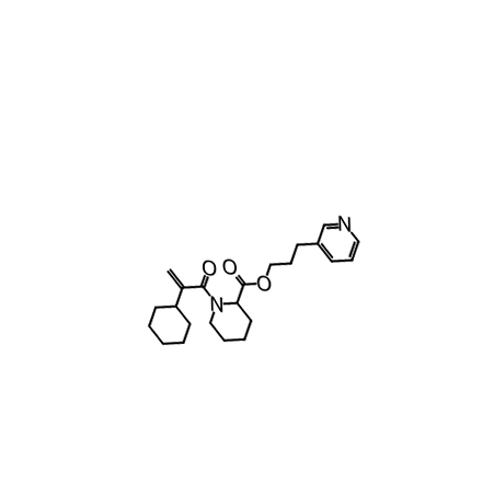 C=C(C(=O)N1CCCCC1C(=O)OCCCc1cccnc1)C1CCCCC1